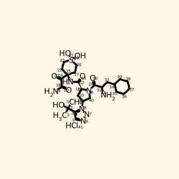 CC(C)(O)c1cnnn1[C@H]1C[C@@H](C(=O)NC2(C(=O)C(N)=O)CCS(O)(O)CC2)N(C(=O)C(N)CC2CCCCC2)C1.Cl